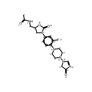 CC(=O)NCC1CN(c2ccc(N3CCN(N4C=NC(=O)C4)CC3)c(F)c2)C(=O)O1